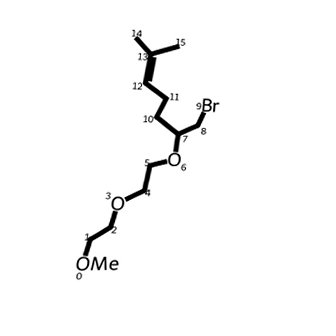 COCCOCCOC(CBr)CCC=C(C)C